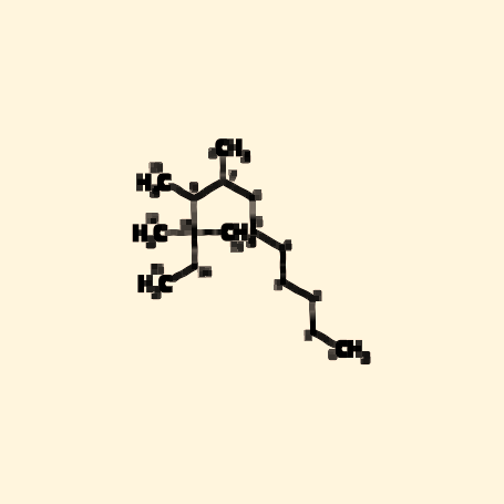 CCCCCCCC(C)C(C)C(C)(C)CC